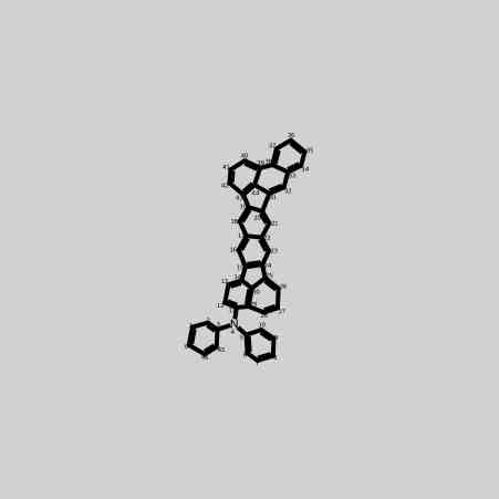 c1ccc(N(c2ccccc2)c2ccc3c4cc5cc6c(cc5cc4c4cccc2c34)c2cc3ccccc3c3cccc6c32)cc1